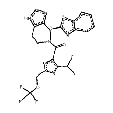 O=C(c1oc(COC(F)(F)F)nc1C(F)F)N1CCc2[nH]cnc2[C@H]1c1nc2ccccc2s1